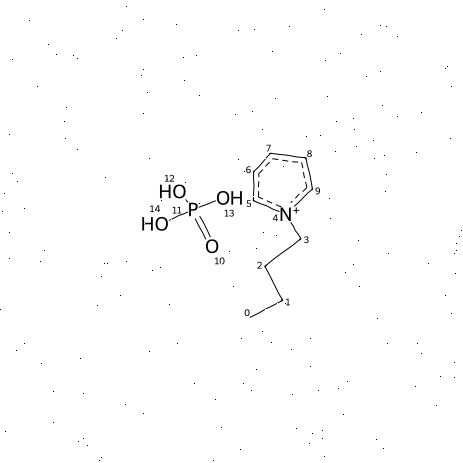 CCCC[n+]1ccccc1.O=P(O)(O)O